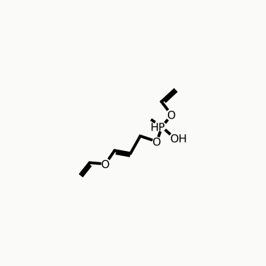 C=CO/C=C/CO[PH](C)(O)OC=C